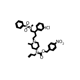 C=CCN(C(=O)OCc1ccc([N+](=O)[O-])cc1)[C@H]1CCN(CCC(CN(C)S(=O)(=O)c2ccccc2)c2ccccc2)C(C)C1.Cl